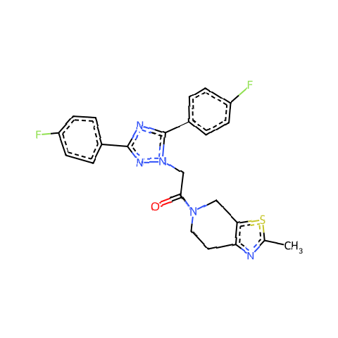 Cc1nc2c(s1)CN(C(=O)Cn1nc(-c3ccc(F)cc3)nc1-c1ccc(F)cc1)CC2